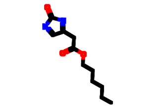 CCCCCCOC(=O)CC1=NC(=O)N=C1